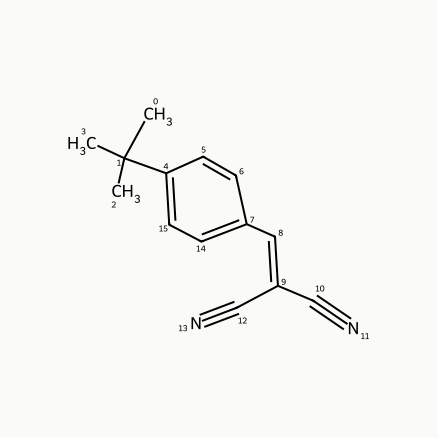 CC(C)(C)c1ccc(C=C(C#N)C#N)cc1